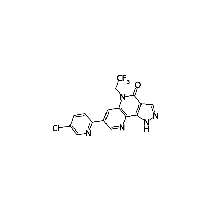 O=c1c2cn[nH]c2c2ncc(-c3ccc(Cl)cn3)cc2n1CC(F)(F)F